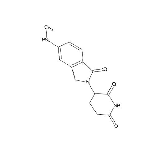 CNc1ccc2c(c1)CN(C1CCC(=O)NC1=O)C2=O